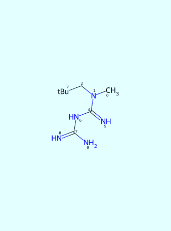 CN(CC(C)(C)C)C(=N)NC(=N)N